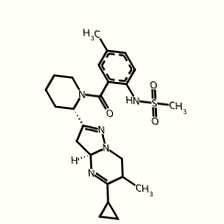 Cc1ccc(NS(C)(=O)=O)c(C(=O)N2CCCC[C@H]2C2=NN3CC(C)C(C4CC4)=N[C@H]3C2)c1